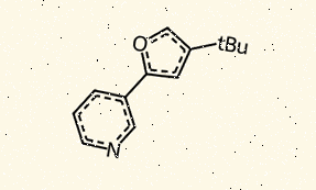 CC(C)(C)c1coc(-c2cccnc2)c1